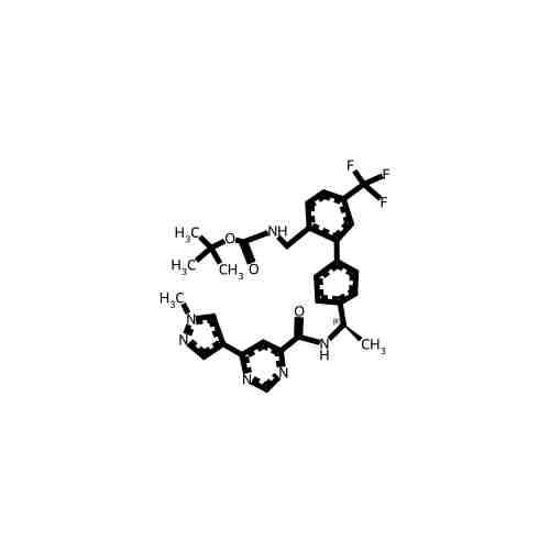 C[C@@H](NC(=O)c1cc(-c2cnn(C)c2)ncn1)c1ccc(-c2cc(C(F)(F)F)ccc2CNC(=O)OC(C)(C)C)cc1